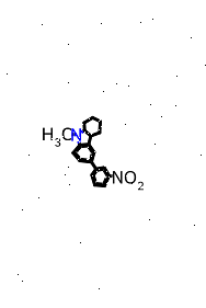 CN1c2ccc(-c3cccc([N+](=O)[O-])c3)cc2C2CCCCC21